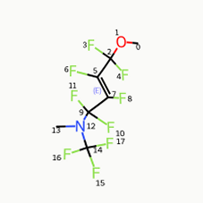 COC(F)(F)/C(F)=C(\F)C(F)(F)N(C)C(F)(F)F